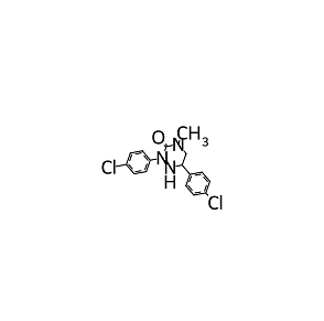 CN1CC(c2ccc(Cl)cc2)NN(c2ccc(Cl)cc2)C1=O